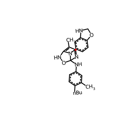 CCCCc1ccc(NC23N=CC(C)=C(NO2)N3c2ccc3c(c2)NCO3)cc1C